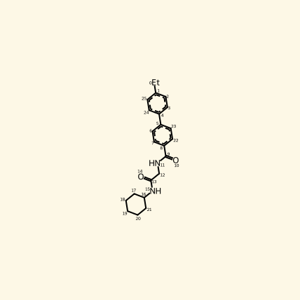 CCc1ccc(-c2ccc(C(=O)NCC(=O)NC3CCCCC3)cc2)cc1